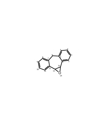 c1ccc2c(c1)Cc1ccccc1C1OC21